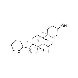 CC1C=C2CC(O)CC[C@]2(C)[C@H]2CC[C@]3(C)C(C4CCCCO4)=CC[C@H]3[C@H]12